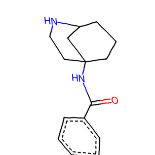 O=C(NC12CCCC(C1)NCC2)c1ccccc1